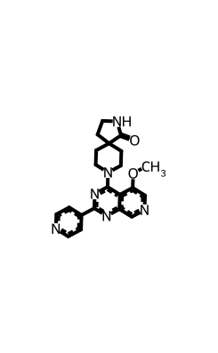 COc1cncc2nc(-c3ccncc3)nc(N3CCC4(CCNC4=O)CC3)c12